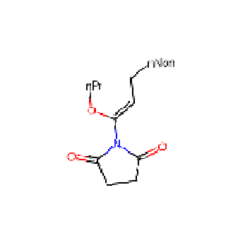 CCCCCCCCCCC=C(OCCC)N1C(=O)CCC1=O